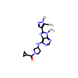 CCn1ncc(-c2nc3c(NC4CCN(C(=O)C5CC5)C4)ncnc3n2C)c1C